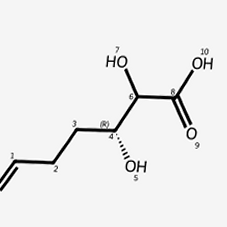 C=CCC[C@@H](O)C(O)C(=O)O